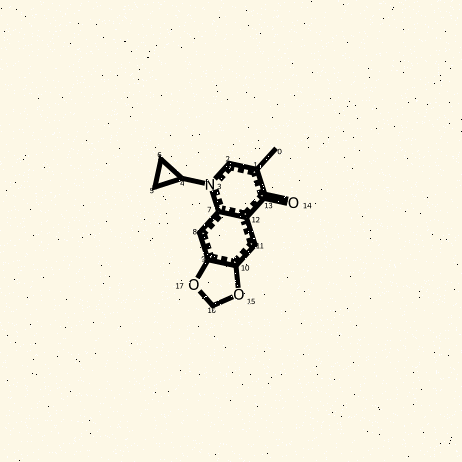 Cc1cn(C2CC2)c2cc3c(cc2c1=O)OCO3